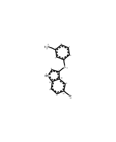 Nc1cccc(Sc2c[nH]c3ccc(Br)cc23)c1